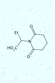 CCC(C(=O)O)N1C(=O)CCCC1=O